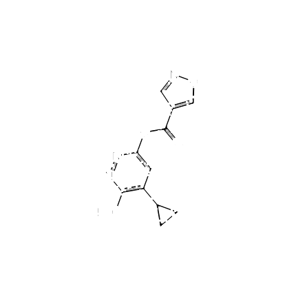 Cc1nnc(OC(=O)c2cnoc2)cc1C1CC1